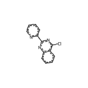 Clc1nc(-c2ccccn2)nc2ccccc12